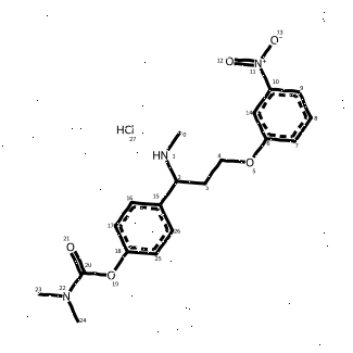 CNC(CCOc1cccc([N+](=O)[O-])c1)c1ccc(OC(=O)N(C)C)cc1.Cl